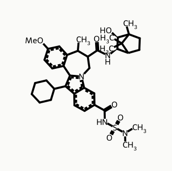 COc1ccc2c(c1)C(C)C(C(=O)N[C@@H]1C3CCC(C)([C@@H]1O)C3(C)C)Cn1c-2c(C2CCCCC2)c2ccc(C(=O)NS(=O)(=O)N(C)C)cc21